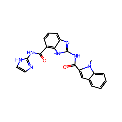 Cn1c(C(=O)Nc2nc3cccc(C(=O)Nc4ncc[nH]4)c3[nH]2)cc2ccccc21